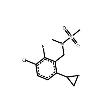 CN(Cc1c(C2[CH]C2)ccc(Cl)c1F)S(C)(=O)=O